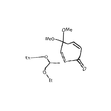 CCOC(C)OCC.COC1(OC)C=CC(=O)C=C1